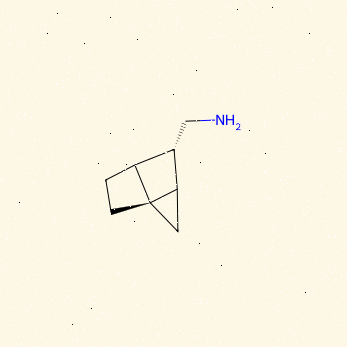 NC[C@H]1C2CC[C@@]23CC13